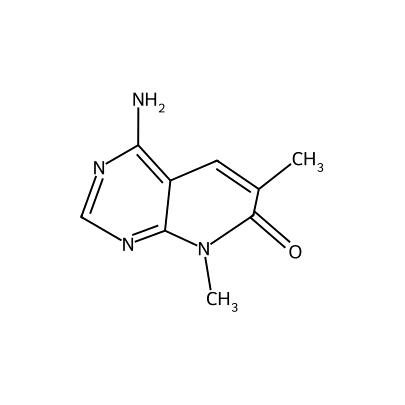 Cc1cc2c(N)ncnc2n(C)c1=O